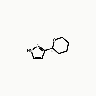 c1cc([C@@H]2CCCCO2)n[nH]1